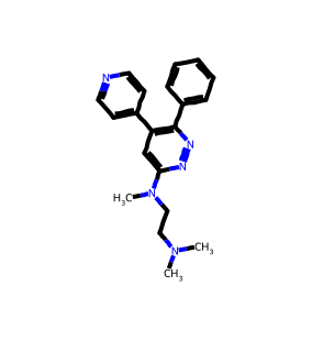 CN(C)CCN(C)c1cc(-c2ccncc2)c(-c2ccccc2)nn1